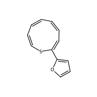 c1cccsc(-c2ccco2)ccc1